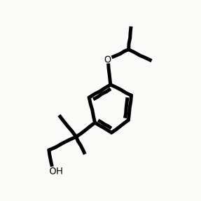 CC(C)Oc1cccc(C(C)(C)CO)c1